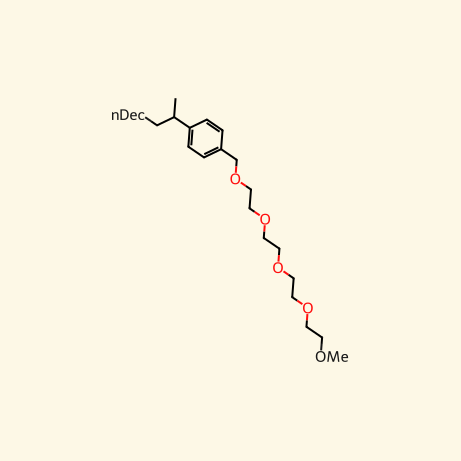 CCCCCCCCCCCC(C)c1ccc(COCCOCCOCCOCCOC)cc1